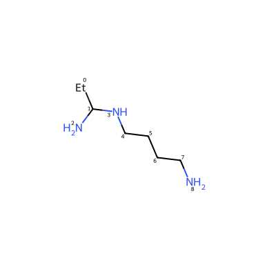 CCC(N)NCCCCN